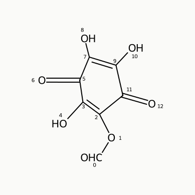 O=COC1=C(O)C(=O)C(O)=C(O)C1=O